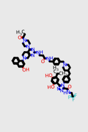 CCC(=O)N1CCN(c2nc(NCCC(=O)NCc3ccc(CN4CCC(Cc5ccc(-n6c(C(=O)NCC(F)(F)F)nnc6-c6cc(C(C)C)c(O)cc6O)cc5)CC4)cc3)nc3c2CCN(c2cc(O)cc4ccccc24)C3)CC1